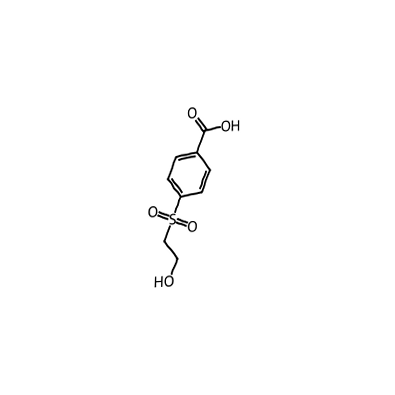 O=C(O)c1ccc(S(=O)(=O)CCO)cc1